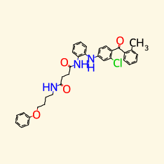 Cc1ccccc1C(=O)c1ccc(Nc2ccccc2NC(=O)CCC(=O)NCCCCOc2ccccc2)cc1Cl